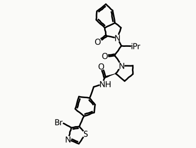 CC(C)C(C(=O)N1CCC[C@H]1C(=O)NCc1ccc(-c2scnc2Br)cc1)N1Cc2ccccc2C1=O